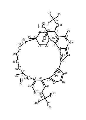 Cc1nc2cc3nn2c(c1[C@H](OC(C)(C)C)C(=O)O)N1CCC(C)(CC1)OCCCC[C@H](C)Oc1ccc(C(F)(F)F)cc1-c1cccc-3c1